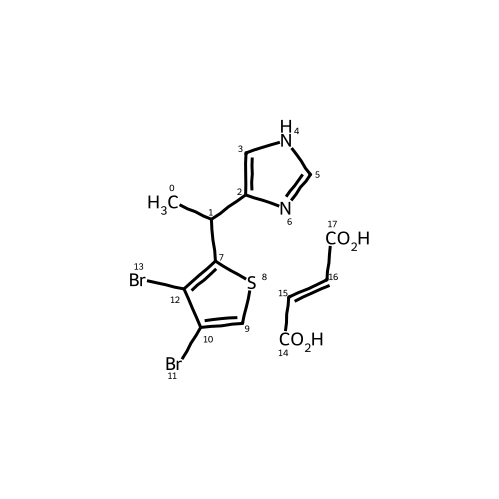 CC(c1c[nH]cn1)c1scc(Br)c1Br.O=C(O)C=CC(=O)O